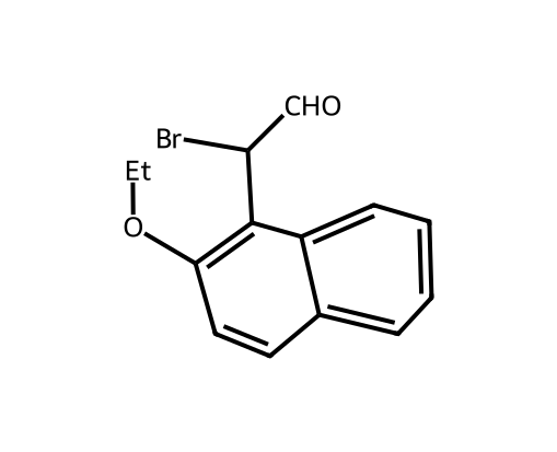 CCOc1ccc2ccccc2c1C(Br)C=O